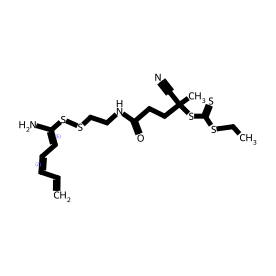 C=C/C=C\C=C(/N)SSCCNC(=O)CCC(C)(C#N)SC(=S)SCC